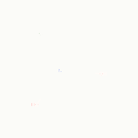 Oc1ccc(N(c2ccc(O)cc2)c2ccc(Cl)cc2)cc1